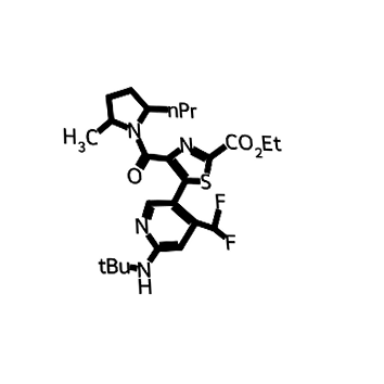 CCCC1CCC(C)N1C(=O)c1nc(C(=O)OCC)sc1-c1cnc(NC(C)(C)C)cc1C(F)F